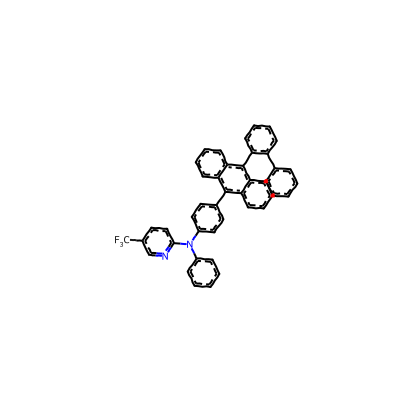 FC(F)(F)c1ccc(N(c2ccccc2)c2ccc(-c3c4ccccc4c(-c4ccccc4-c4ccccc4)c4ccccc34)cc2)nc1